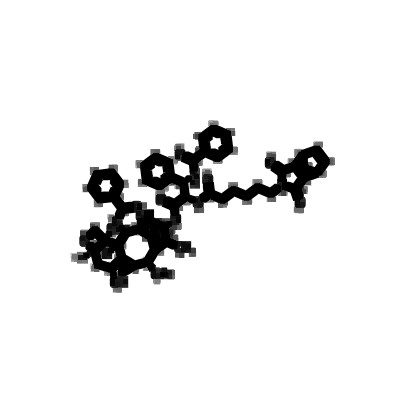 CC(=O)O[C@H]1C2=C[C@@]23[C@H]([C@H](OC(=O)c2ccccc2)[C@]2(O)C[C@H](OC(=O)[C@H](OC(=O)CCCCCN4C(=O)C5C6C=CC(C6)C5C4=O)[C@@H](NC(=O)c4ccccc4)c4ccccc4)C(C)=C1C2(C)C)[C@]1(OC(C)=O)CO[C@@H]1C[C@@H]3O